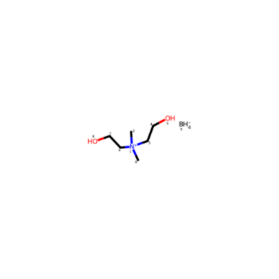 C[N+](C)(CCO)CCO.[BH4-]